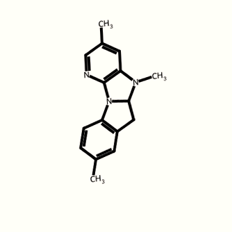 Cc1ccc2c(c1)CC1N(C)c3cc(C)cnc3N21